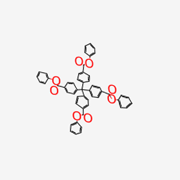 O=C(Oc1ccccc1)c1ccc(C(c2ccc(C(=O)Oc3ccccc3)cc2)(c2ccc(C(=O)Oc3ccccc3)cc2)c2ccc(C(=O)Oc3ccccc3)cc2)cc1